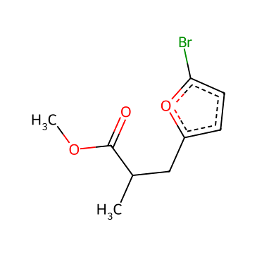 COC(=O)C(C)Cc1ccc(Br)o1